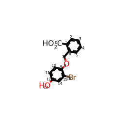 O=C(O)c1ccccc1COc1ccc(O)cc1Br